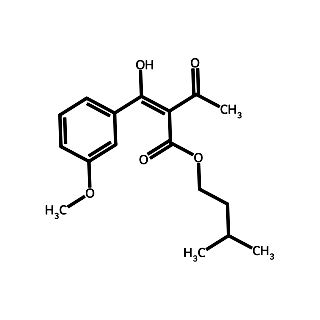 COc1cccc(C(O)=C(C(C)=O)C(=O)OCCC(C)C)c1